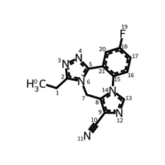 CCc1nnc2n1Cc1c(C#N)ncn1-c1ccc(F)cc1-2